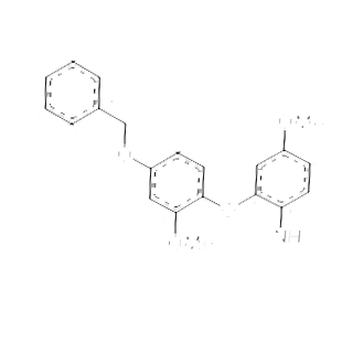 COc1ccc(N)c(Oc2ccc(OCc3ccccc3)cc2OC)c1